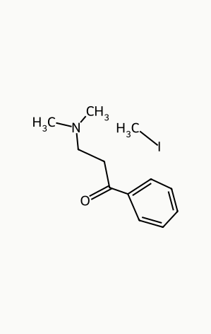 CI.CN(C)CCC(=O)c1ccccc1